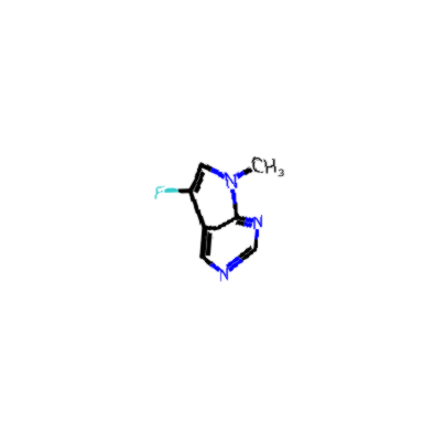 Cn1cc(F)c2cncnc21